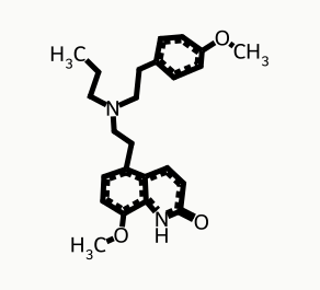 CCCN(CCc1ccc(OC)cc1)CCc1ccc(OC)c2[nH]c(=O)ccc12